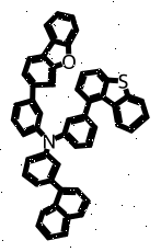 c1cc(-c2ccc3c(c2)oc2ccccc23)cc(N(c2cccc(-c3cccc4ccccc34)c2)c2cccc(-c3cccc4sc5ccccc5c34)c2)c1